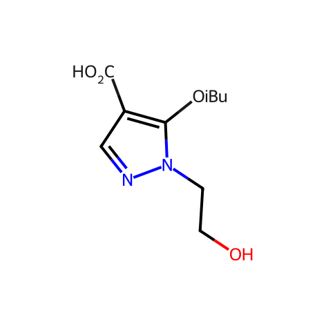 CC(C)COc1c(C(=O)O)cnn1CCO